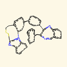 c1ccc(-c2nc3ccccc3nc2-c2cccc(-c3ccc4c(c3)-n3c(nc5ccccc53)SC4)c2)cc1